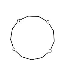 C1COCCOCCOCCOC1